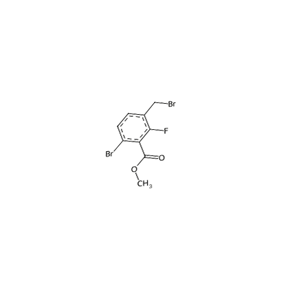 COC(=O)c1c(Br)ccc(CBr)c1F